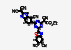 CCOC(=O)C(C#N)c1nc(-c2nc3cc(C#N)c(C#N)cc3o2)nc(-c2ccc3c(c2C#N)=NC(=C(C#N)C#N)N=3)n1